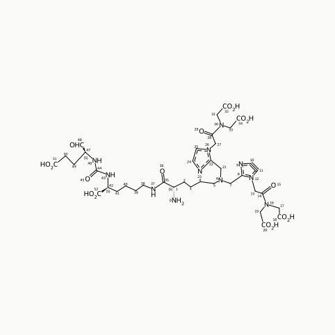 N[C@@H](CCCCN(Cc1nc#cn1CC(=O)N(CC(=O)O)CC(=O)O)Cc1nccn1CC(=O)N(CC(=O)O)CC(=O)O)C(=O)NCCCC[C@H](NC(=O)N[C@H](C=O)CCC(=O)O)C(=O)O